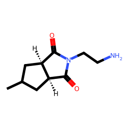 CC1C[C@@H]2C(=O)N(CCN)C(=O)[C@@H]2C1